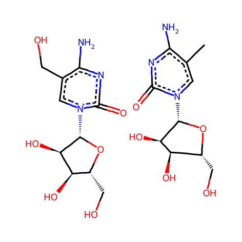 Cc1cn([C@@H]2O[C@H](CO)[C@@H](O)[C@H]2O)c(=O)nc1N.Nc1nc(=O)n([C@@H]2O[C@H](CO)[C@@H](O)[C@H]2O)cc1CO